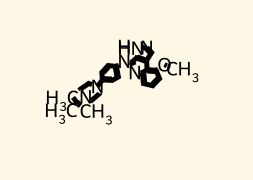 COc1cccc2nc(Nc3ccc(N4CCN(C(C)(C)C)CC4)cc3)c3[nH]ncc3c12